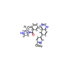 COc1ccc(-c2ccc3ncnc(-c4ccc(C)c(C(=O)N5CC6CC5CN6)c4)c3c2)cn1